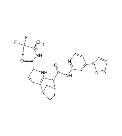 C[C@@H](NC(=O)C1C=CC2=C(N1)N(C(=O)Nc1cc(-n3ccnn3)ccn1)C1CCN2C1)C(F)(F)F